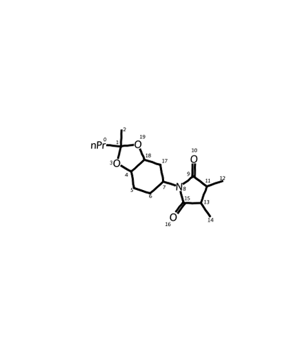 CCCC1(C)OC2CCC(N3C(=O)C(C)C(C)C3=O)CC2O1